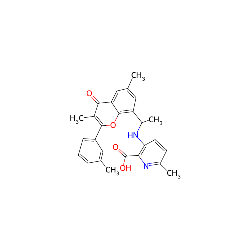 Cc1cccc(-c2oc3c(C(C)Nc4ccc(C)nc4C(=O)O)cc(C)cc3c(=O)c2C)c1